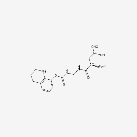 CCCCC[C@H](CN(O)C=O)C(=O)NCNC(=O)Oc1cccc2c1NCCC2